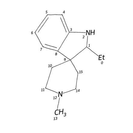 CCC1Nc2ccccc2C12CCN(C)CC2